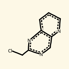 ClCc1ncc2ncccc2n1